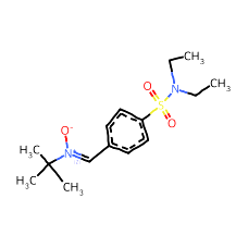 CCN(CC)S(=O)(=O)c1ccc(/C=[N+](\[O-])C(C)(C)C)cc1